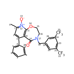 Cc1cc(-c2ccccc2)c2c([n+]1[O-])OCCN(Cc1cc(C(F)(F)F)cc(C(F)(F)F)c1)C2=O